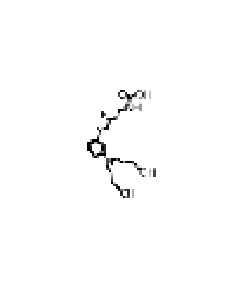 C#CCCCN(CCCC#C)c1cccc(SCC(F)=CCNC(=O)O)c1